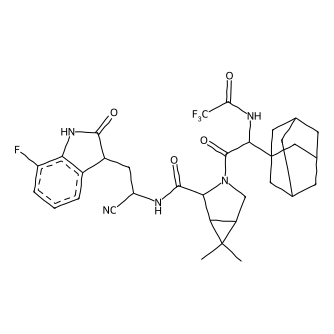 CC1(C)C2CN(C(=O)C(NC(=O)C(F)(F)F)C34CC5CC(CC(C5)C3)C4)C(C(=O)NC(C#N)CC3C(=O)Nc4c(F)cccc43)C21